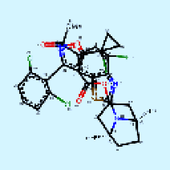 COC(=O)c1cc(F)c2nc(N3[C@@H]4CC[C@H]3CC(OC(=O)c3c(-c5c(Cl)cccc5Cl)noc3C3(F)CC3)C4)sc2c1